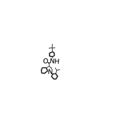 CC(C)c1ccccc1N1CC(C(=O)Nc2ccc(C(C)(C)C)cc2)c2ccccc21